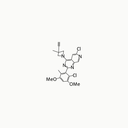 C#CC1(C)CN(c2nc(-c3c(C)c(OC)cc(OC)c3Cl)nc3cnc(Cl)cc23)C1